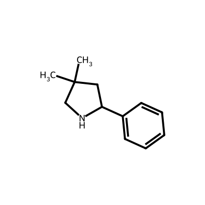 CC1(C)CNC(c2ccccc2)C1